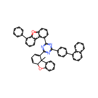 CC12C(c3nc(-c4ccc(-c5cccc6ccccc56)cc4)nc(-c4cccc5oc6c(-c7ccccc7)cccc6c45)n3)=CC=CC1Oc1ccccc12